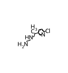 CC(CNCCN)c1ccc(Cl)nc1